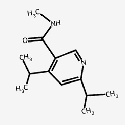 CNC(=O)c1cnc(C(C)C)cc1C(C)C